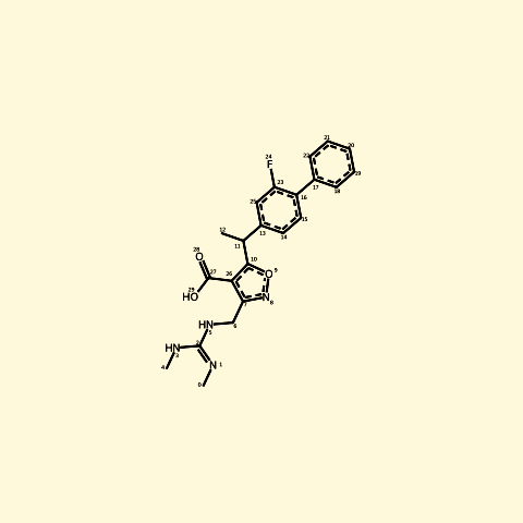 CN=C(NC)NCc1noc(C(C)c2ccc(-c3ccccc3)c(F)c2)c1C(=O)O